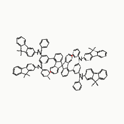 CC1C=CC(N(c2cc(-c3cccc4c3-c3ccccc3C43c4ccccc4-c4c(-c5cc(N(c6ccccc6)c6ccc7c(c6)C(C)(C)c6ccccc6-7)cc(N(c6ccccc6)c6ccc7c(c6)C(C)(C)c6ccccc6-7)c5)cccc43)cc(N(c3ccccc3)c3ccc4c(c3)-c3ccccc3C4(C)C)c2)c2ccc3c(c2)C(C)(C)c2ccccc2-3)=CC1